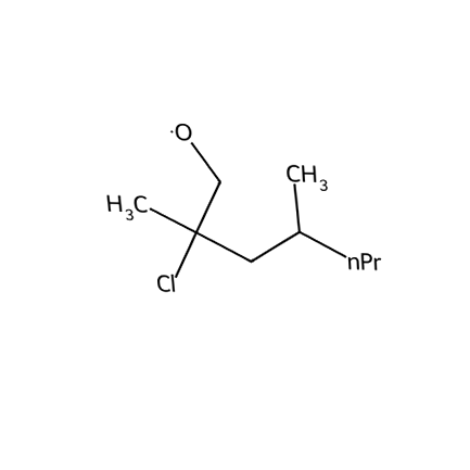 CCCC(C)CC(C)(Cl)C[O]